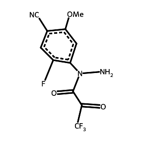 COc1cc(N(N)C(=O)C(=O)C(F)(F)F)c(F)cc1C#N